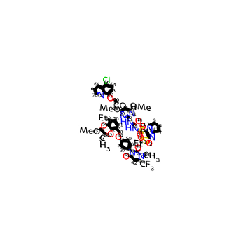 CCS(=O)(=O)c1nc2ccccn2c1S(=O)(=O)NC(=O)Nc1nc(OC)cc(OC)n1.CCc1ccc(COc2ccc(-n3c(=O)cc(C(F)(F)F)n(C)c3=O)cc2)c(OC(C)C(=O)OC)c1.O=C(O)COc1ccc(Cl)c2cccnc12